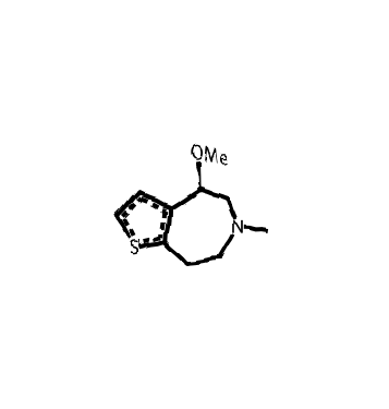 CO[C@H]1CN(C)CCc2sccc21